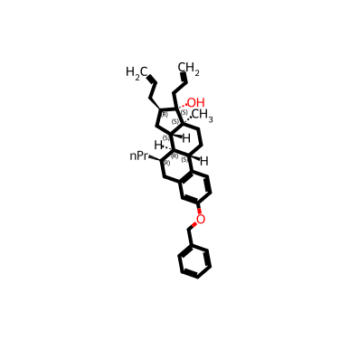 C=CC[C@@H]1C[C@H]2[C@@H]3[C@H](CCC)Cc4cc(OCc5ccccc5)ccc4[C@H]3CC[C@]2(C)[C@]1(O)CC=C